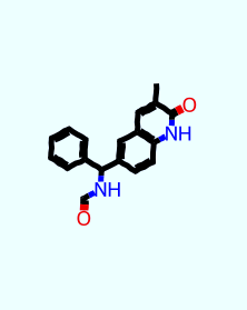 Cc1cc2cc(C(NC=O)c3ccccc3)ccc2[nH]c1=O